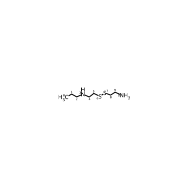 CCCNCCSSCCN